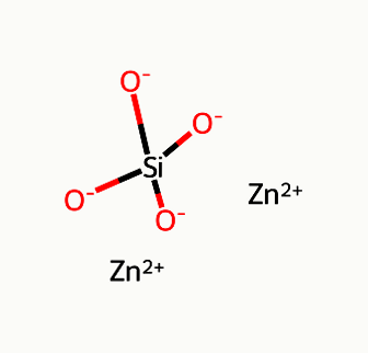 [O-][Si]([O-])([O-])[O-].[Zn+2].[Zn+2]